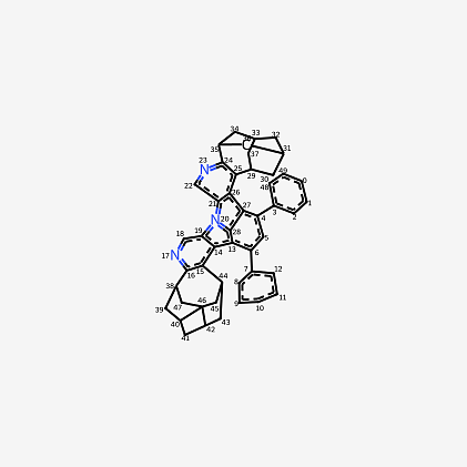 c1ccc(-c2cc(-c3ccccc3)c3c4c5c(ncc4n4c6cnc7c(c6c2c34)C2CC3CC(CC7C3)C2)C2CC3CC4CC5CC34C2)cc1